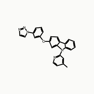 Cc1ccnc(-n2c3ccccc3c3ccc(Oc4cccc(-n5ccnn5)c4)cc32)c1